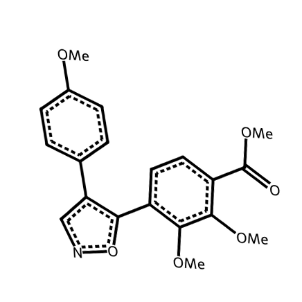 COC(=O)c1ccc(-c2oncc2-c2ccc(OC)cc2)c(OC)c1OC